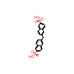 O=S(=O)(O)c1ccc2cc(Cc3ccc4cc(S(=O)(=O)O)ccc4c3)ccc2c1